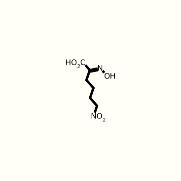 O=C(O)C(CCCC[N+](=O)[O-])=NO